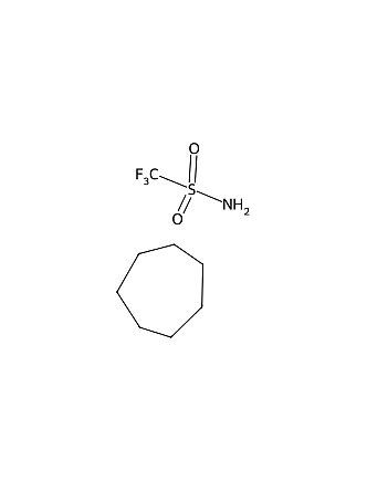 C1CCCCCC1.NS(=O)(=O)C(F)(F)F